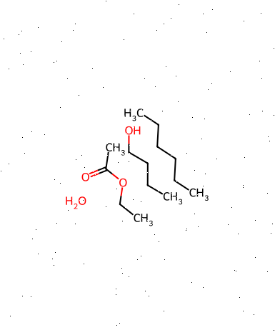 CCCCCC.CCCCO.CCOC(C)=O.O